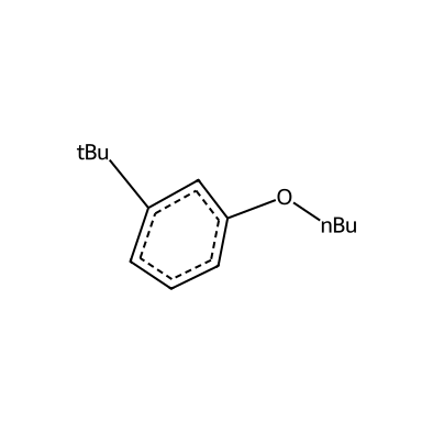 CCCCOc1cccc(C(C)(C)C)c1